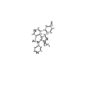 CC(=O)N(c1ccncc1)c1c(-c2ccncc2)c(-c2ccc(F)cc2)nn1C